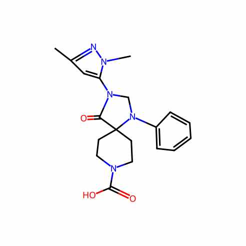 Cc1cc(N2CN(c3ccccc3)C3(CCN(C(=O)O)CC3)C2=O)n(C)n1